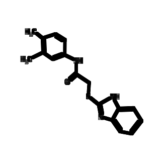 Cc1ccc(NC(=O)CSc2nc3ccccc3[nH]2)cc1C